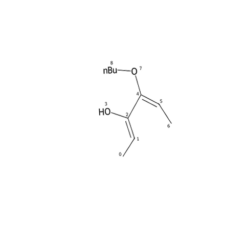 CC=C(O)C(=CC)OCCCC